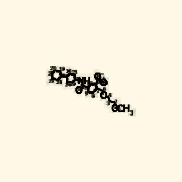 COCCCOCc1ccc(C(=O)Nc2ccc(-c3ccccc3)cc2)cc1[N+](=O)[O-]